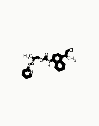 C/C(=C\Cl)c1ccc(NC(=O)OCC(C)SSc2ccccn2)c2ccccc12